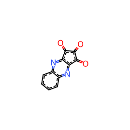 O=c1c(=O)c2nc3ccccc3nc2c1=O